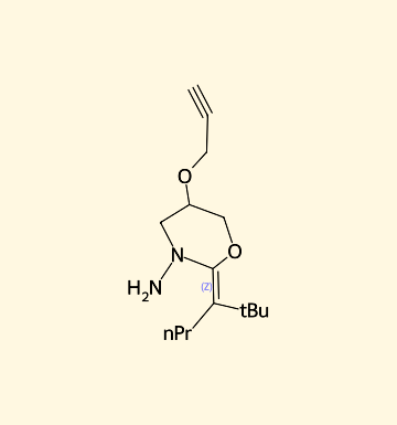 C#CCOC1CO/C(=C(/CCC)C(C)(C)C)N(N)C1